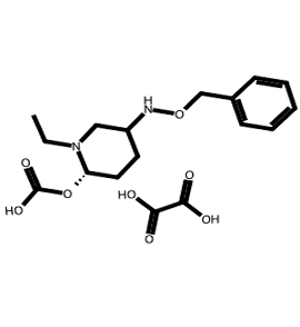 CCN1CC(NOCc2ccccc2)CC[C@@H]1OC(=O)O.O=C(O)C(=O)O